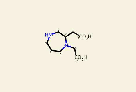 O=C(O)CC1CNCCCN1CC(=O)O